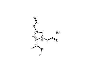 C=CCN1C=C(C(C)CC)N(CC=C)C1.I